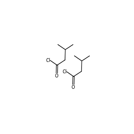 CC(C)CC(=O)Cl.CC(C)CC(=O)Cl